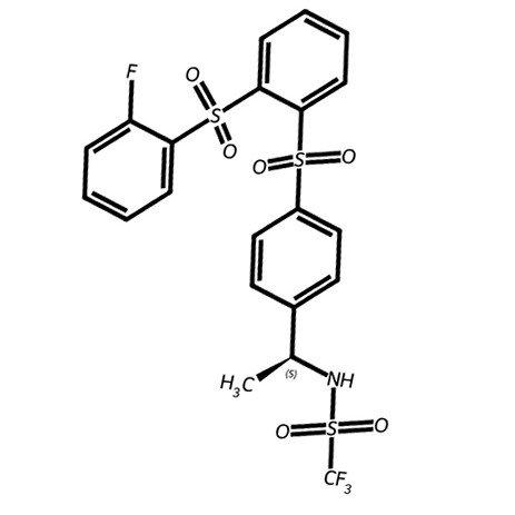 C[C@H](NS(=O)(=O)C(F)(F)F)c1ccc(S(=O)(=O)c2ccccc2S(=O)(=O)c2ccccc2F)cc1